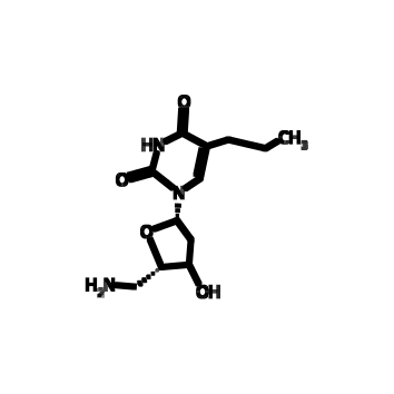 CCCc1cn([C@@H]2CC(O)[C@H](CN)O2)c(=O)[nH]c1=O